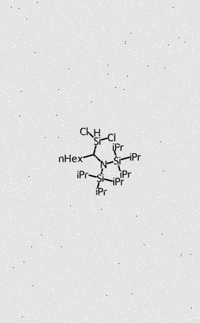 CCCCCCC(N([Si](C(C)C)(C(C)C)C(C)C)[Si](C(C)C)(C(C)C)C(C)C)[SiH](Cl)Cl